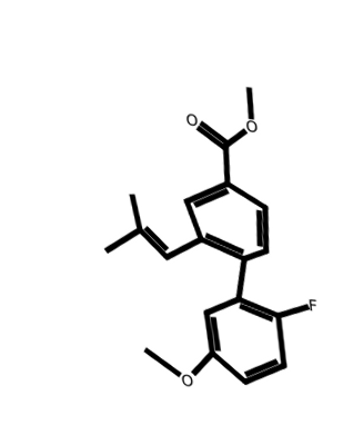 COC(=O)c1ccc(-c2cc(OC)ccc2F)c(C=C(C)C)c1